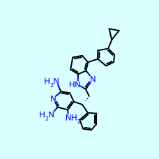 Nc1cc([C@H](Cc2nc3c(-c4cccc(C5CC5)c4)cccc3[nH]2)c2ccccc2)c(N)c(N)n1